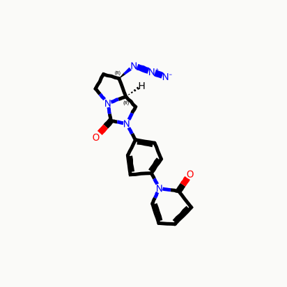 [N-]=[N+]=N[C@@H]1CCN2C(=O)N(c3ccc(-n4ccccc4=O)cc3)C[C@H]12